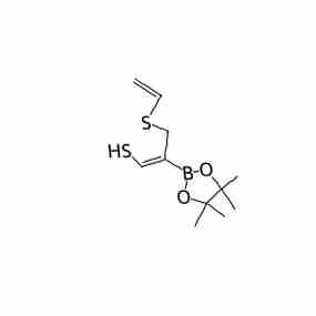 C=CSC/C(=C\S)B1OC(C)(C)C(C)(C)O1